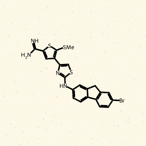 CSc1sc(C(=N)N)cc1-c1csc(Nc2ccc3c(c2)Cc2cc(Br)ccc2-3)n1